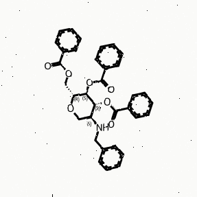 O=C(OC[C@H]1OC[C@H](NCc2ccccc2)[C@@H](OC(=O)c2ccccc2)[C@@H]1OC(=O)c1ccccc1)c1ccccc1